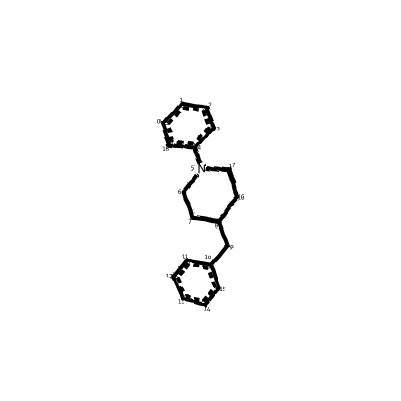 [c]1cccc(N2CCC(Cc3ccccc3)CC2)c1